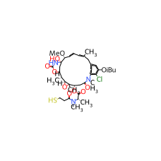 CO[C@@H]1/C=C/C=C(\C)Cc2cc(OCC(C)C)c(Cl)c(c2)N(C)C(=O)C[C@H](OC(=O)[C@H](C)N(C)C(=O)CCS)[C@]2(C)O[C@H]2[C@H](C)[C@@H]2C[C@@]1(O)NC(=O)O2